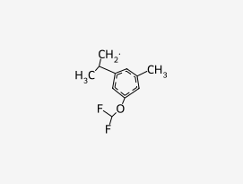 [CH2]C(C)c1cc(C)cc(OC(F)F)c1